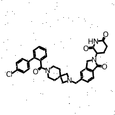 O=C1CCC(N2Cc3cc(CN4CC5(CCN(C(=O)c6ccccc6-c6ccc(Cl)cc6)CC5)C4)ccc3C2=O)C(=O)N1